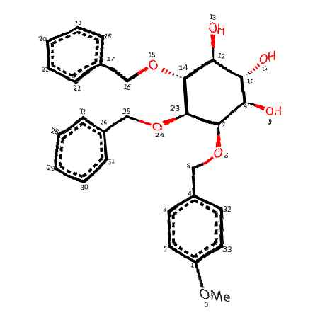 COc1ccc(CO[C@@H]2[C@H](O)[C@@H](O)[C@H](O)[C@@H](OCc3ccccc3)[C@@H]2OCc2ccccc2)cc1